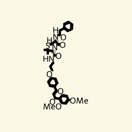 COc1cc(OC)c2c(=O)cc(-c3ccc(OCCCNC(=O)[C@@H]4N5C(=O)[C@@H](NC(=O)Cc6ccccc6)[C@H]5SC4(C)C)cc3)oc2c1